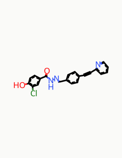 O=C(N/N=C/c1ccc(C#Cc2ccccn2)cc1)c1ccc(O)c(Cl)c1